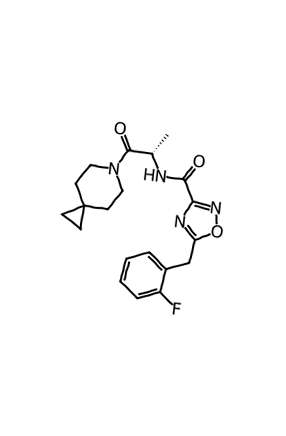 C[C@H](NC(=O)c1noc(Cc2ccccc2F)n1)C(=O)N1CCC2(CC1)CC2